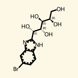 OC[C@@H](O)[C@H](O)[C@H](O)[C@@H](O)c1nc2cc(Br)ccc2[nH]1